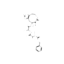 CC(C)C(NC(=O)OCc1ccccc1)C(=O)NC(C(=O)NC1Cc2nnsc2CCNC(=O)C1=O)C(C)C